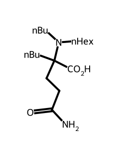 CCCCCCN(CCCC)C(CCCC)(CCC(N)=O)C(=O)O